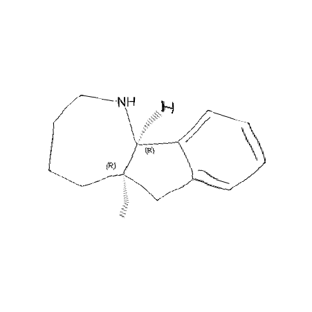 C[C@]12CCCCN[C@H]1c1ccccc1C2